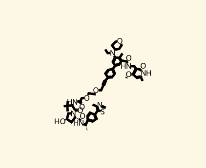 CCN(c1cc(-c2ccc(C#CCOCCOCC(=O)N[C@H](C(=O)N3C[C@H](O)C[C@H]3C(=O)N[C@@H](C)c3ccc(-c4scnc4C)cc3)C(C)(C)C)cc2)cc(C(=O)NCc2c(OC)cc(C)[nH]c2=O)c1C)C1CCOCC1